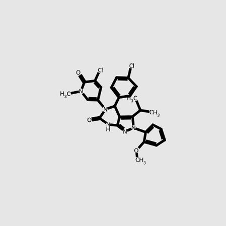 COc1ccccc1-n1nc2c(c1C(C)C)C(c1ccc(Cl)cc1)N(c1cc(Cl)c(=O)n(C)c1)C(=O)N2